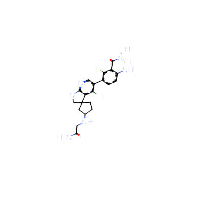 CN(C)C(=O)c1c(N)ccc(-c2cnc3c(c2Cl)C2(CCC(NCC(N)=O)C2)CN3)c1F